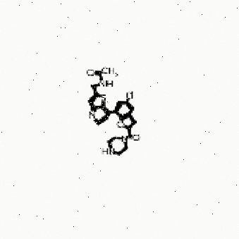 CC(=O)NCc1cc2nccc(-c3cc(Cl)cc4c3OC(C(=O)N3CCNCC3)C4)c2s1